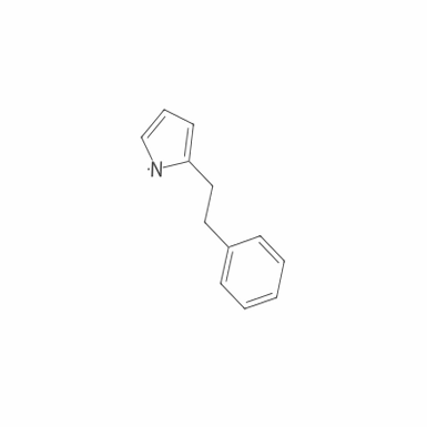 C1=C[N]C(CCc2ccccc2)=C1